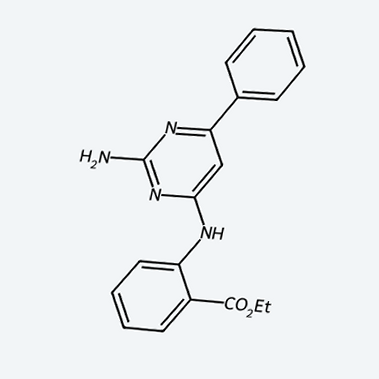 CCOC(=O)c1ccccc1Nc1cc(-c2ccccc2)nc(N)n1